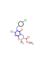 COC(=O)C(C)Cn1c(=O)nc(Cl)n(Cc2ccc(Cl)cc2)c1=O